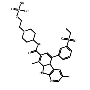 CCS(=O)(=O)c1cccc(C2=CC(C(=O)NC3CCN(CCOP(=O)(O)O)CC3)=C(C)C3Nc4ncc(C)cc4C23)c1